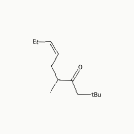 CC/C=C\CC(C)C(=O)CC(C)(C)C